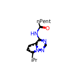 CCCCCC(=O)Nc1ncnn2c(C(C)C)ccc12